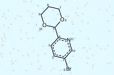 Brc1ccc(C2OCCCO2)nc1